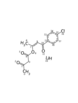 CC(=O)CC(=O)OC(C)=CC(=O)c1ccc(Cl)cc1.[LiH]